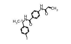 C=CC(=O)Nc1ccc(C(=O)N[C@@H](C)c2ccc(I)cc2)cc1